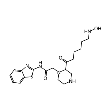 O=C(CN1CCNCC1C(=O)CCCCCNO)Nc1nc2ccccc2s1